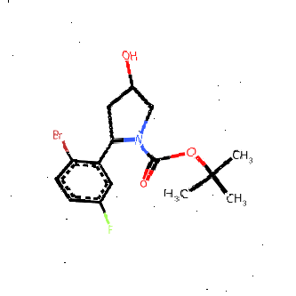 CC(C)(C)OC(=O)N1CC(O)CC1c1cc(F)ccc1Br